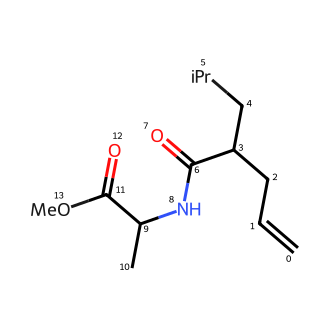 C=CCC(CC(C)C)C(=O)NC(C)C(=O)OC